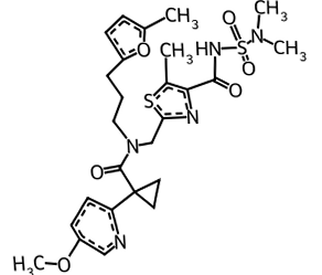 COc1ccc(C2(C(=O)N(CCCc3ccc(C)o3)Cc3nc(C(=O)NS(=O)(=O)N(C)C)c(C)s3)CC2)nc1